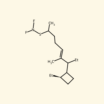 CCC(/C(C)=C/CCC(C)SN(F)F)C1CC[C@H]1CC